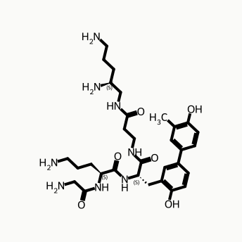 Cc1cc(-c2ccc(O)c(C[C@H](NC(=O)[C@H](CCCN)NC(=O)CN)C(=O)NCCC(=O)NC[C@@H](N)CCCN)c2)ccc1O